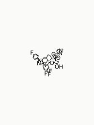 Cn1ccc(S(=O)(=O)N([C@H]2CCC3=Cc4c(cnn4-c4ccc(F)cc4)C[C@]3(C(=O)c3cc(C(F)(F)F)ccn3)C2)[C@H]2C[C@](C)(O)C2)n1